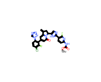 C=C1CC(c2cnc(-c3ccc(NC(=O)OC(C)(C)C)nc3F)[nH]2)n2c1cc(-c1c(-n3cnnn3)ccc(Cl)c1F)cc2=O